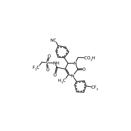 CC1=C(C(=O)NS(=O)(=O)CC(F)(F)F)C(c2ccc(C#N)cc2)N(CC(=O)O)C(=O)N1c1cccc(C(F)(F)F)c1